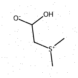 C[S+](C)CC([O-])O